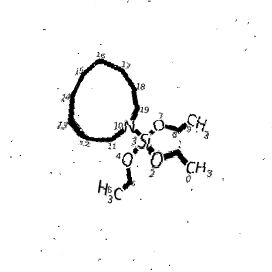 CCO[Si](OCC)(OCC)N1CCCCCCCCC1